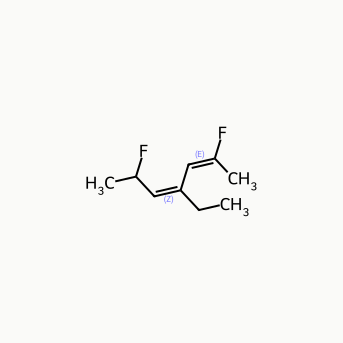 CCC(=C/C(C)F)/C=C(\C)F